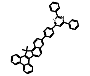 CC1(C)c2c(ccc3cc(-c4ccc(-c5cc(-c6ccccc6)nc(-c6ccccc6)n5)cc4)ccc23)-c2c1c1ccccc1c1ccccc21